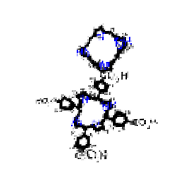 C1=Cc2cc3ccc(cc4nc(cc5ccc(cc1n2)[nH]5)C=C4)[nH]3.O=C(O)c1ccc(-c2c3nc(c(-c4ccc(C(=O)O)cc4)c4ccc([nH]4)c(-c4ccc(C(=O)O)cc4)c4nc(c(-c5ccc(C(=O)O)cc5)c5ccc2[nH]5)C=C4)C=C3)cc1